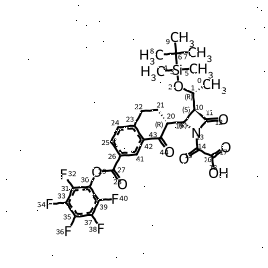 C[C@@H](O[Si](C)(C)C(C)(C)C)[C@H]1C(=O)N(C(=O)C(=O)O)[C@@H]1[C@H]1CCc2ccc(C(=O)Oc3c(F)c(F)c(F)c(F)c3F)cc2C1=O